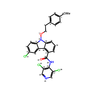 COc1ccc(CCOn2c3ccc(Cl)cc3c3c(C(=O)Nc4c(Cl)cncc4Cl)cccc32)cc1